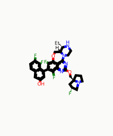 CC[C@@H]1NCCN2c3nc(OC[C@@]45CCCN4C[C@H](F)C5)nc4c(F)c(-c5cc(O)cc6ccc(F)c(F)c56)c(F)c(c34)OC[C@H]12